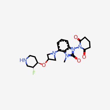 Cn1c(=O)n(N2C(=O)CCCC2=O)c2cccc(N3CC(O[C@@H]4CCNC[C@H]4F)C3)c21